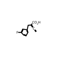 C=C=C(Cc1cccc(F)c1)C(=O)O